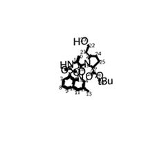 C=C(NS(=O)(=O)c1cccc2cc(C)cnc12)C(=O)N1[C@@H](CCO)CC[C@H]1C(=O)OC(C)(C)C